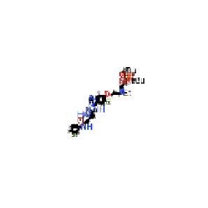 CCN(CCCOc1cc2ncnc(Nc3cc(CC(=O)Nc4cccc(F)c4)[nH]n3)c2cc1F)CCOP(=O)(OC(C)(C)C)OC(C)(C)C